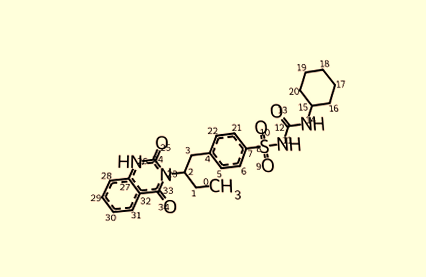 CCC(Cc1ccc(S(=O)(=O)NC(=O)NC2CCCCC2)cc1)n1c(=O)[nH]c2ccccc2c1=O